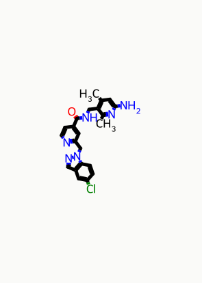 Cc1cc(N)nc(C)c1CNC(=O)c1ccnc(Cn2ncc3cc(Cl)ccc32)c1